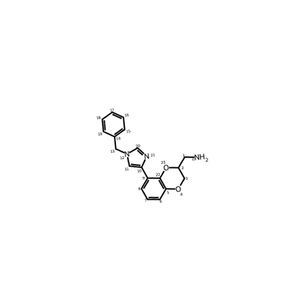 NCC1COc2cccc(-c3cn(Cc4ccccc4)cn3)c2O1